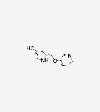 O[C@@H]1CNC(COc2cccnc2)C1